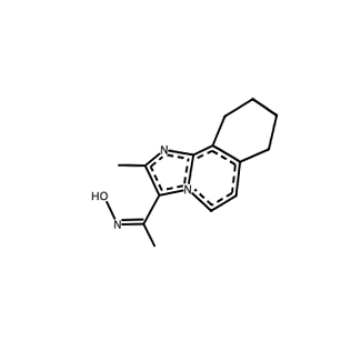 C/C(=N/O)c1c(C)nc2c3c(ccn12)CCCC3